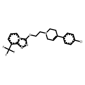 FC(F)(F)c1cccn2c(SCCN3CC=C(c4ccc(Cl)cc4)CC3)nnc12